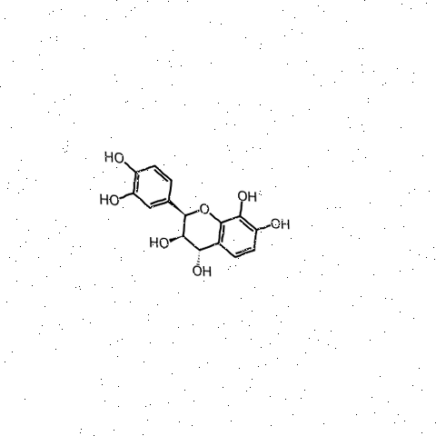 Oc1ccc([C@H]2Oc3c(ccc(O)c3O)[C@H](O)[C@H]2O)cc1O